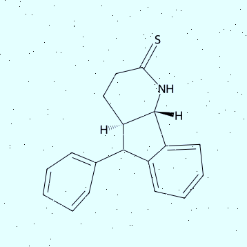 S=C1CC[C@@H]2C(c3ccccc3)c3ccccc3[C@H]2N1